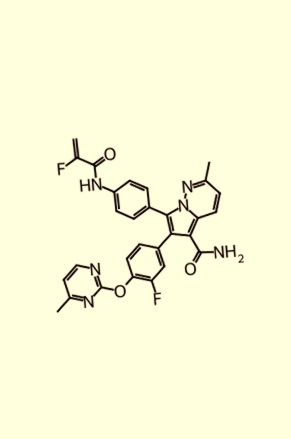 C=C(F)C(=O)Nc1ccc(-c2c(-c3ccc(Oc4nccc(C)n4)c(F)c3)c(C(N)=O)c3ccc(C)nn23)cc1